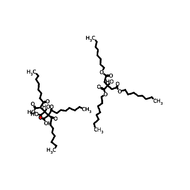 CCCCCCCC(=O)C(C(=O)O)C(O)(C(=O)O)C(C(=O)O)(C(=O)CCCCCCC)C(=O)CCCCCCC.CCCCCCCCOC(=O)CC(O)(CC(=O)OCCCCCCCC)C(=O)OCCCCCCCC